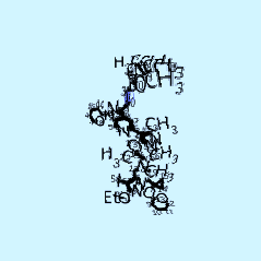 CCOc1nn(CC2(OC3CCCCO3)CC2)c(CN(C)C[C@H](C)Oc2c(-c3cc4c(/C=C/B5OC(C)(C)C(C)(C)O5)nn(C5CCCCO5)c4cn3)c(C)nn2C)c1I